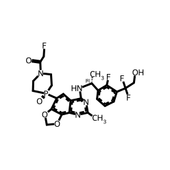 Cc1nc(N[C@H](C)c2cccc(C(F)(F)CO)c2F)c2cc(P3(=O)CCN(C(=O)CF)CC3)c3c(c2n1)OCO3